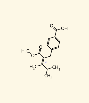 COC(=O)/C(Cc1ccc(C(=O)O)cc1)=C(\C)C(C)C